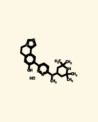 CN(c1ccc(-c2cc3c(cc2O)CCn2cncc2-3)nn1)C1CC(C)(C)NC(C)(C)C1.Cl